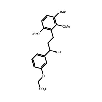 COc1ccc(OC)c(OC)c1CC[C@@H](O)c1cccc(OCC(=O)O)c1